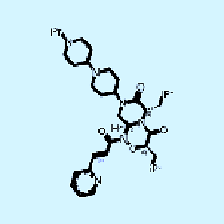 CC(C)C[C@H]1ON(C(=O)/C=C/c2ccccn2)[C@H]2CN(C3CCN(C4CCN(C(C)C)CC4)CC3)C(=O)[C@H](CC(C)C)N2C1=O